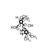 CCOc1cc2c(c(F)c1OCC)C(=N)N(CC(=O)c1cc(C(C)(C)C)ccc1OCC(=O)O)C2.Cl